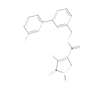 CN1CC(C(=O)NCc2cccc(-c3cccc(F)c3)c2)=C(O)C1=O